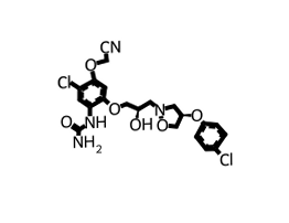 N#CCOc1cc(OC[C@H](O)CN2C[C@@H](Oc3ccc(Cl)cc3)CO2)c(NC(N)=O)cc1Cl